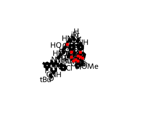 C=C(C[C@@H](OC)[C@H]([C@@H](C)CC)N(C)C(=O)[C@@H](NC(=O)[C@H](C(C)C)N(C)C(=O)OCc1ccc(NC(=O)[C@H](C)NC(=O)[C@@H](NC(=O)CCOCCC(=O)NCCNc2ncc(-c3cc(C)cc(F)c3)c(N3CCC(NC(=O)OC(C)(C)C)CC3)c2-c2nc3ccc(Cl)cc3[nH]2)C(C)C)c(O[C@@H]2O[C@H](C(=O)O)[C@@H](O)[C@H](O)[C@H]2O)c1)C(C)C)N1CCC[C@H]1[C@H](OC)[C@@H](C)C(=O)N[C@H](C)[C@@H](O)c1ccccc1